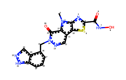 Cn1c2nc(C(=O)NO)sc2c2cnn(Cc3cccc4[nH]ncc34)c(=O)c21